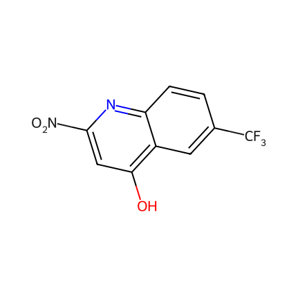 O=[N+]([O-])c1cc(O)c2cc(C(F)(F)F)ccc2n1